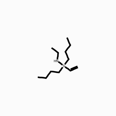 C=C[Si](CCCC)(CCCC)NCC